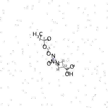 CCC(=O)OCO/N=[N+](\[O-])N1CC(C(=O)O)C1